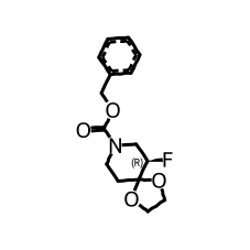 O=C(OCc1ccccc1)N1CCC2(OCCO2)[C@H](F)C1